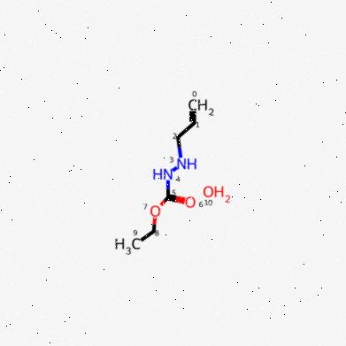 C=CCNNC(=O)OCC.O